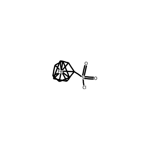 O=S(=O)(Cl)[C]12[CH]3[CH]4[CH]5[CH]1[Fe]45321678[CH]2[CH]1[CH]6[CH]7[CH]28